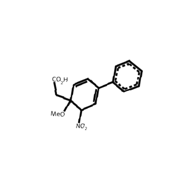 COC1(CC(=O)O)C=CC(c2ccccc2)=CC1[N+](=O)[O-]